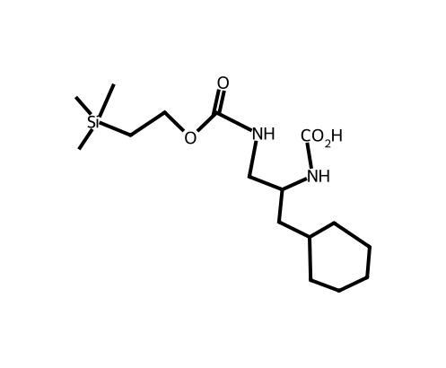 C[Si](C)(C)CCOC(=O)NCC(CC1CCCCC1)NC(=O)O